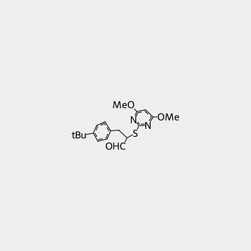 COc1cc(OC)nc(SC(C=O)Cc2ccc(C(C)(C)C)cc2)n1